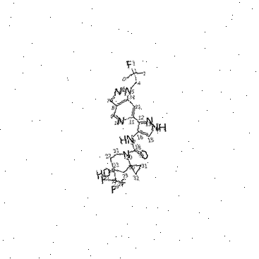 CC(C)(F)Cn1ncc2cnc(-c3n[nH]cc3NC(=O)N3CC[C@](O)(C(F)(F)F)CC34CC4)cc21